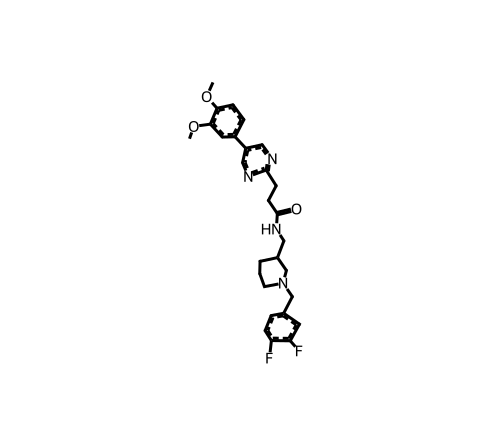 COc1ccc(-c2cnc(CCC(=O)NCC3CCCN(Cc4ccc(F)c(F)c4)C3)nc2)cc1OC